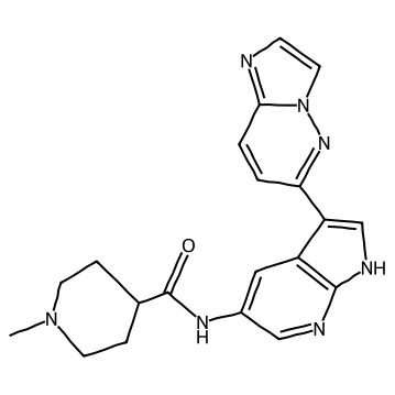 CN1CCC(C(=O)Nc2cnc3[nH]cc(-c4ccc5nccn5n4)c3c2)CC1